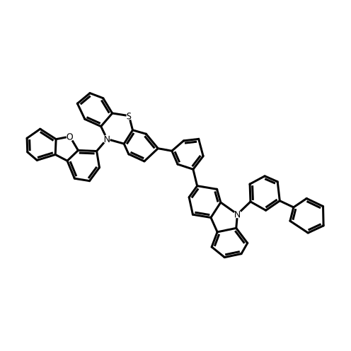 c1ccc(-c2cccc(-n3c4ccccc4c4ccc(-c5cccc(-c6ccc7c(c6)Sc6ccccc6N7c6cccc7c6oc6ccccc67)c5)cc43)c2)cc1